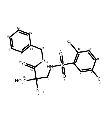 NC(CNS(=O)(=O)c1cc(Cl)ccc1Cl)(C(=O)O)C(=O)OCc1ccccc1